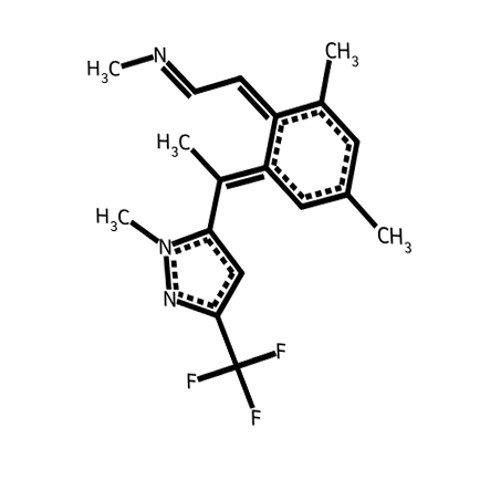 C/N=C/C=c1/c(C)cc(C)c/c1=C(/C)c1cc(C(F)(F)F)nn1C